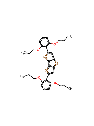 CCCOc1cccc(OCCC)c1-c1cc2sc3cc(-c4c(OCCC)cccc4OCCC)sc3c2s1